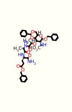 CCOC(=O)N[C@H]1[C@@H](OCc2ccccc2)O[C@@H]2COC(c3ccccc3)O[C@@H]2[C@@H]1O[C@H](C)C(=O)N[C@@H](C)C(=O)N[C@H](CCC(=O)OCc1ccccc1)C(N)=O